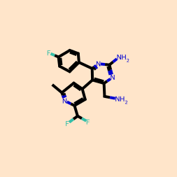 Cc1cc(-c2c(CN)nc(N)nc2-c2ccc(F)cc2)cc(C(F)F)n1